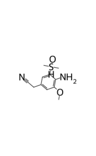 COc1cc(CC#N)cc([SH](C)(C)=O)c1N